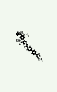 CCN(C(=O)[C@@H]1CCN(CC(=O)N2CC=C(c3ccc(-c4ncn(C)n4)cc3)CC2)C1)c1ccc(N)c(C(=N)C23CC(C2)C3)c1